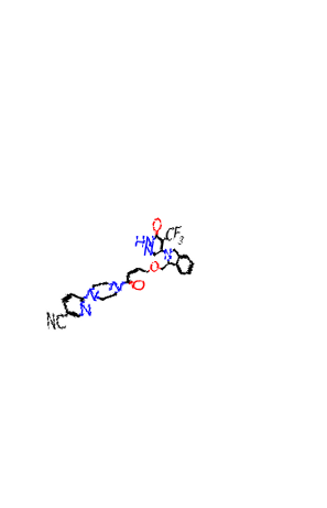 N#Cc1ccc(N2CCN(C(=O)/C=C\COC[C@@H]3c4ccccc4CN3c3cn[nH]c(=O)c3C(F)(F)F)CC2)nc1